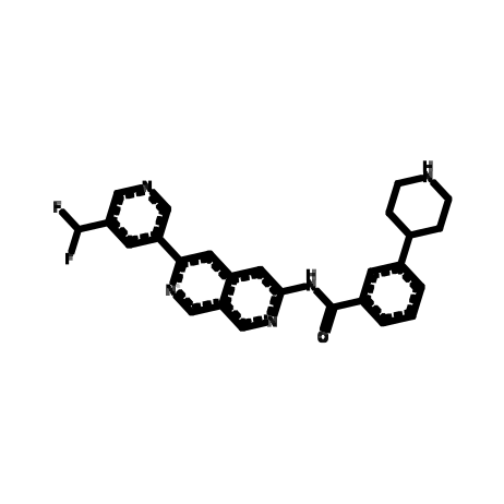 O=C(Nc1cc2cc(-c3cncc(C(F)F)c3)ncc2cn1)c1cccc(C2CCNCC2)c1